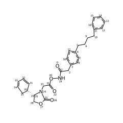 O=C(Cc1ccc(CCCCc2ccccc2)cc1)NOC(=O)CN1C(=O)OC[C@@H]1C1C=CC=CC1